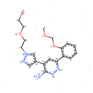 COCOc1ccccc1-c1cc(-c2cnn(CCOCCBr)c2)c(N)nn1